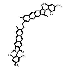 Cc1cc2cc3cc4c(cc3cc2cc1CCc1cc2cc3cc5c(cc3cc2cc1C)C(=O)N(c1c(C(C)C)cc(N)cc1C(C)C)C5=O)C(=O)N(c1c(C(C)C)cc(N)cc1C(C)C)C4=O